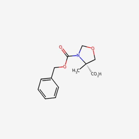 C[C@]1(C(=O)O)COCN1C(=O)OCc1ccccc1